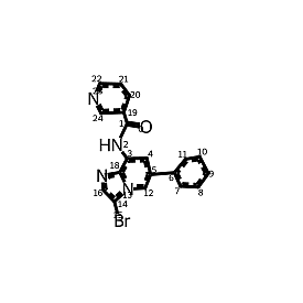 O=C(Nc1cc(-c2ccccc2)cn2c(Br)cnc12)c1cccnc1